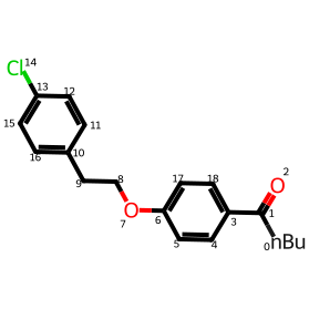 CCCCC(=O)c1ccc(OCCc2ccc(Cl)cc2)cc1